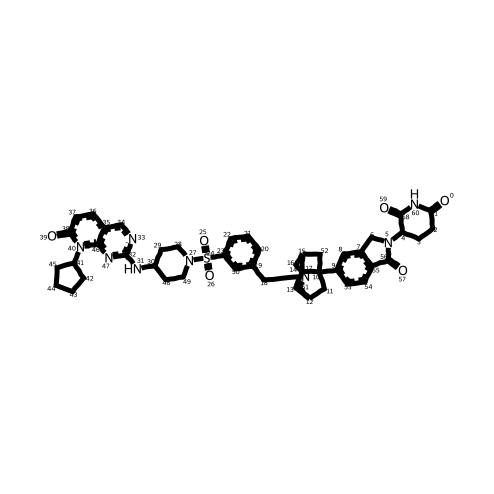 O=C1CCC(N2Cc3cc(C45CC6CC4C(CN(Cc4cccc(S(=O)(=O)N7CCC(Nc8ncc9ccc(=O)n(C%10CCCC%10)c9n8)CC7)c4)C6)C5)ccc3C2=O)C(=O)N1